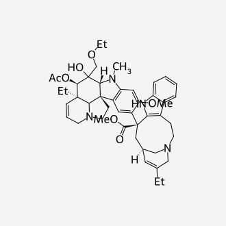 CCOCC1(O)[C@H](OC(C)=O)[C@]2(CC)C=CCN3CC[C@@]4(c5cc([C@@]6(C(=O)OC)C[C@@H]7C=C(CC)CN(CCc8c6[nH]c6ccccc86)C7)c(OC)cc5N(C)[C@@H]14)C32